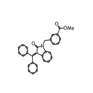 COC(=O)c1cccc(CN2C(=O)C(=C(c3ccccc3)c3ccccc3)c3ccccc32)c1